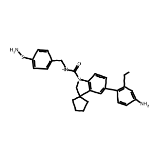 CCc1cc(N)ccc1-c1ccc2c(c1)C1(CCCC1)CN2C(=O)NCc1ccc(SN)cc1